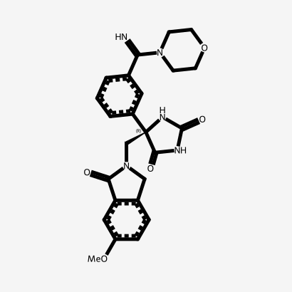 COc1ccc2c(c1)C(=O)N(C[C@@]1(c3cccc(C(=N)N4CCOCC4)c3)NC(=O)NC1=O)C2